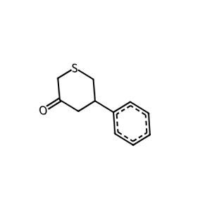 O=C1CSCC(c2ccccc2)C1